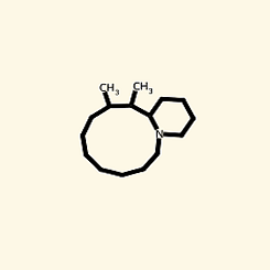 CC1CCCCCCCN2CCCCC2C1C